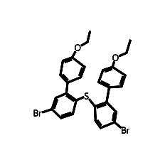 CCOc1ccc(-c2cc(Br)ccc2Sc2ccc(Br)cc2-c2ccc(OCC)cc2)cc1